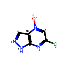 [O-][n+]1cc(Cl)nc2[nH]ncc21